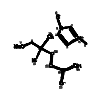 CCn1cc[n+](C)c1.COCC(C#N)(C#N)OOB([O-])O